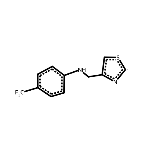 FC(F)(F)c1ccc(NCc2cs[c]n2)cc1